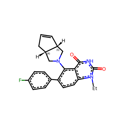 CCn1c(=O)[nH]c(=O)c2c(N3C[C@@H]4CC=C[C@@H]4C3)c(-c3ccc(F)cc3)ccc21